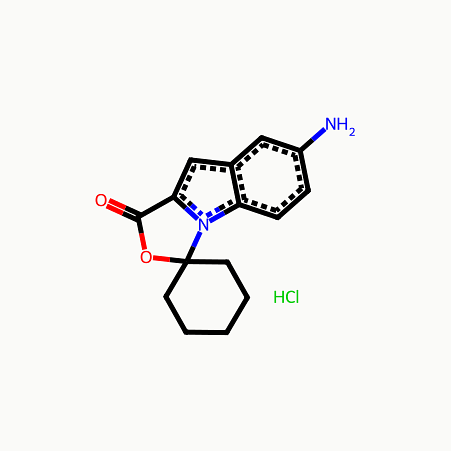 Cl.Nc1ccc2c(c1)cc1n2C2(CCCCC2)OC1=O